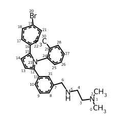 CN(C)CCNCc1cccc(-c2ccc(-c3ccc(Br)cc3)n2-c2ccccc2C(F)(F)F)c1